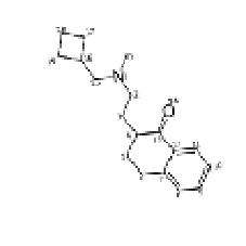 CN(CCC1CCc2ccccc2C1=O)CC1CCC1